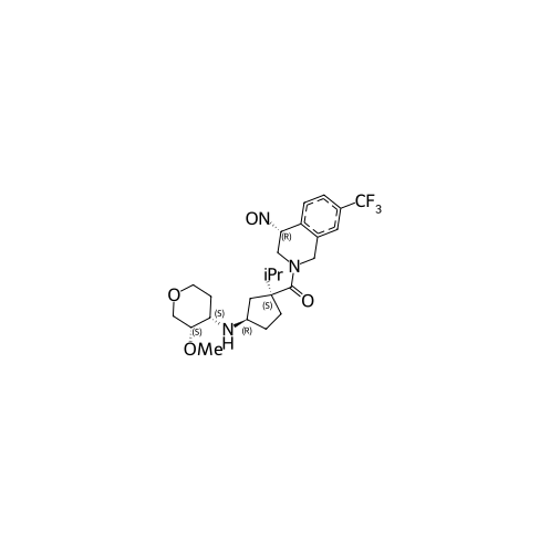 CO[C@@H]1COCC[C@@H]1N[C@@H]1CC[C@@](C(=O)N2Cc3cc(C(F)(F)F)ccc3[C@@H](N=O)C2)(C(C)C)C1